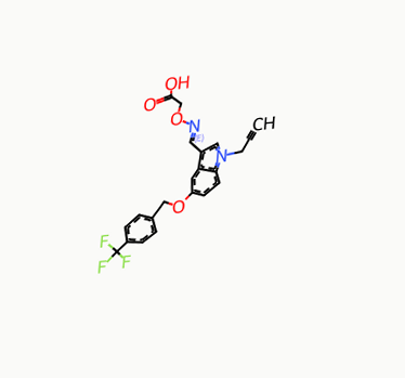 C#CCn1cc(/C=N/OCC(=O)O)c2cc(OCc3ccc(C(F)(F)F)cc3)ccc21